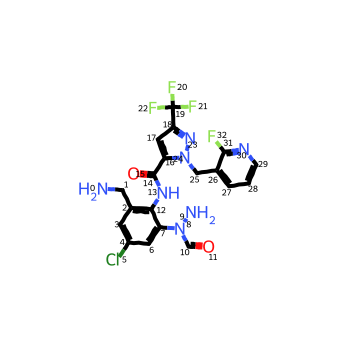 NCc1cc(Cl)cc(N(N)C=O)c1NC(=O)c1cc(C(F)(F)F)nn1Cc1cccnc1F